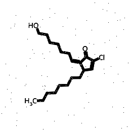 CCCCCCCCC1C=C(Cl)C(=O)C1=CCCCCCCO